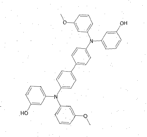 COc1cccc(N(c2ccc(-c3ccc(N(c4cccc(O)c4)c4cccc(OC)c4)cc3)cc2)c2cccc(O)c2)c1